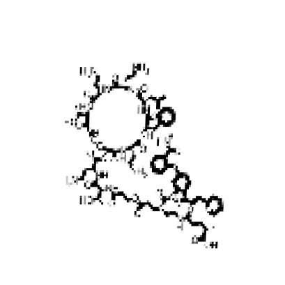 CNC(=O)c1ccccc1Sc1ccc2c(/C=C/c3ccccn3)nn(C(=O)N(CCNC(=O)CC[C@H](C)C(=O)O)CCC(=O)OCCC(=O)N[C@H](C(=O)N[C@@H](CCN)C(=O)N[C@H]3CCNC(=O)C([C@@H](C)O)NC(=O)[C@H](CCN)NC(=O)[C@H](CCN)NC(=O)[C@H](CC(C)C)NC(=O)[C@@H](Cc4ccccc4)NC(=O)[C@H](CCN)NC3=O)[C@@H](C)O)c2c1